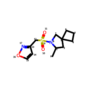 CC1CC2(CCC2)CN1S(=O)(=O)Cc1ccon1